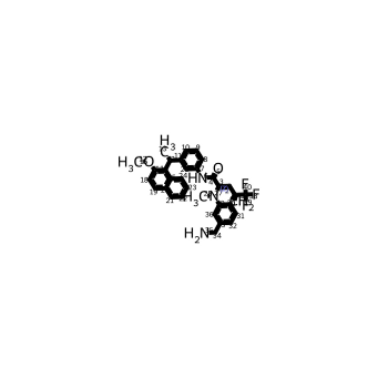 C=C(/C=C(/C(=O)Nc1cccc(C(C)c2c(OC)ccc3ccccc23)c1)N(C)c1cccc(CN)c1)C(F)(F)F